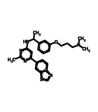 Cc1nc(NC(C)c2cccc(OCCCN(C)C)c2)cc(-c2ccc3ncsc3c2)n1